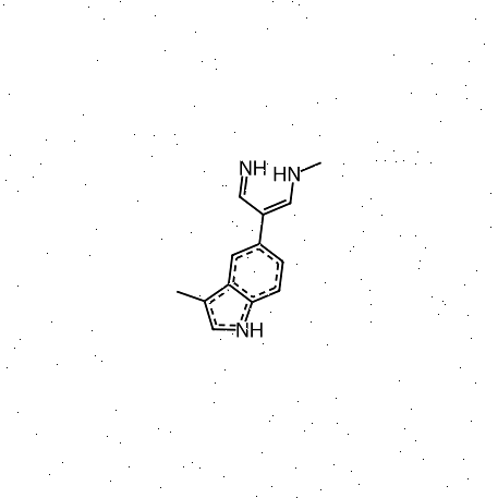 CN/C=C(\C=N)c1ccc2[nH]cc(C)c2c1